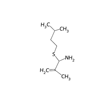 C=C(C)C(N)SCCC(C)C